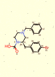 O=C(O)N1CCN(Cc2ccccc2)C[C@H]1Cc1ccc(Br)cc1